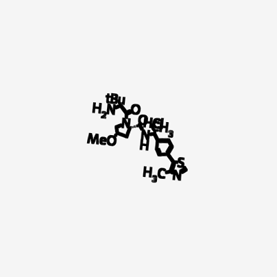 CO[C@@H]1C[C@@H](C(=O)N[C@@H](C)c2ccc(-c3scnc3C)cc2)N(C(=O)C(N)C(C)(C)C)C1.Cl